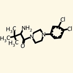 CC(C)(C)C(N)C(=O)N1CCN(c2ccc(Cl)c(Cl)c2)CC1